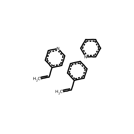 C=Cc1ccccc1.C=Cc1ccncc1.c1ccncc1